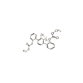 COC(=O)Oc1ccccc1-c1ccc(-c2ccccc2OC(=O)OC)c(C)c1C